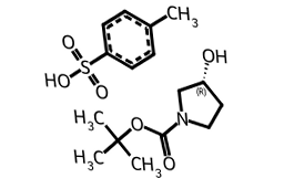 CC(C)(C)OC(=O)N1CC[C@@H](O)C1.Cc1ccc(S(=O)(=O)O)cc1